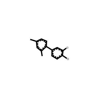 Cc1c[c]c(-c2ccc(Cl)c(Cl)c2)c(C)c1